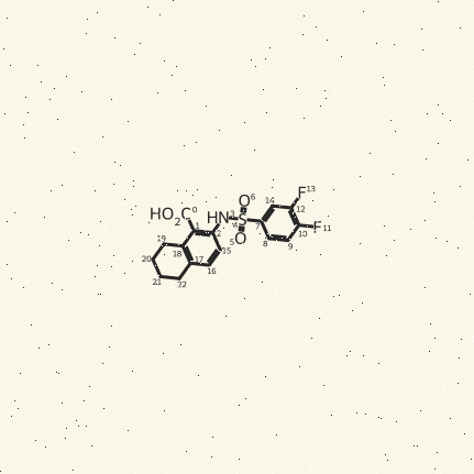 O=C(O)c1c(NS(=O)(=O)c2ccc(F)c(F)c2)ccc2c1CCCC2